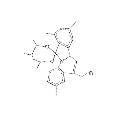 Cc1ccc2c(c1)C(CC(C)C)=CC1c3cc(C)cc(C)c3C3(OC(C)C(C)C(C)O3)N21